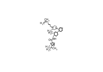 Cc1cc(-c2ccncc2N2CCN(C/C=C/CN(C)C)C(C)C2)ccc1CNC(=O)c1noc(C(C)(C)C)n1